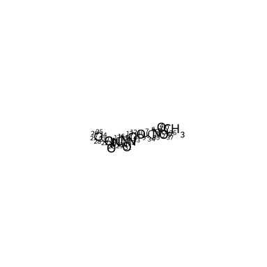 CC1(OC(=O)N2CCC(COc3ccc(N4CCN(C(=O)OCc5ccccc5)CC4=O)nc3)CC2)CC1